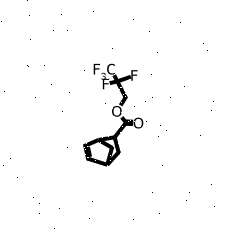 O=C(OCC(F)(F)C(F)(F)F)C1CC2C=CC1C2